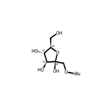 CCCCOC[C@@]1(O)O[C@H](CO)[C@@H](O)[C@@H]1O